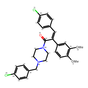 COc1ccc(C(=Cc2ccc(Cl)cc2)C(=O)N2CCN(Cc3ccc(Cl)cc3)CC2)cc1OC